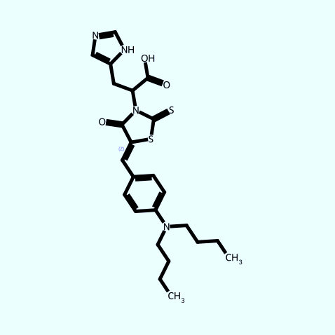 CCCCN(CCCC)c1ccc(/C=C2\SC(=S)N(C(Cc3cnc[nH]3)C(=O)O)C2=O)cc1